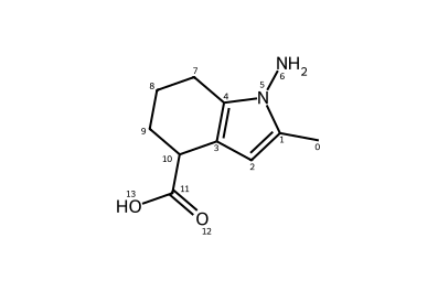 Cc1cc2c(n1N)CCCC2C(=O)O